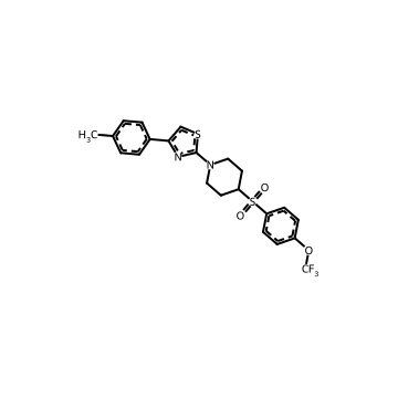 Cc1ccc(-c2csc(N3CCC(S(=O)(=O)c4ccc(OC(F)(F)F)cc4)CC3)n2)cc1